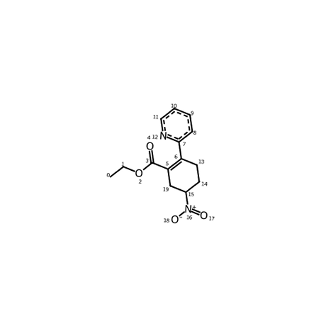 CCOC(=O)C1=C(c2ccccn2)CCC([N+](=O)[O-])C1